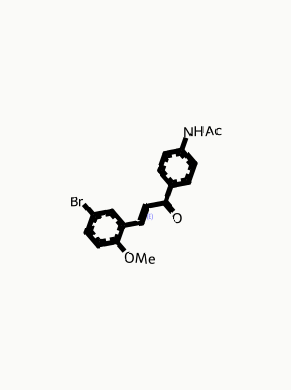 COc1ccc(Br)cc1/C=C/C(=O)c1ccc(NC(C)=O)cc1